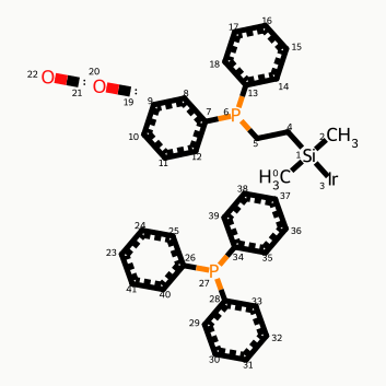 C[Si](C)([Ir])CCP(c1ccccc1)c1ccccc1.[C]=O.[C]=O.c1ccc(P(c2ccccc2)c2ccccc2)cc1